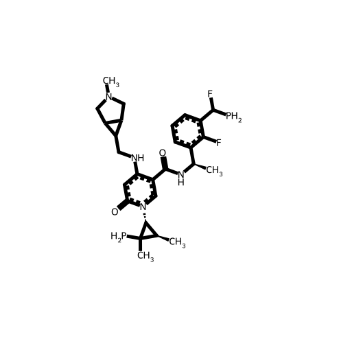 C[C@@H]1[C@@H](n2cc(C(=O)N[C@H](C)c3cccc(C(F)P)c3F)c(NCC3C4CN(C)CC34)cc2=O)C1(C)P